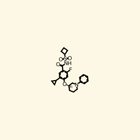 O=C(NS(=O)(=O)C1CCC1)c1cc(C2CC2)c(O[C@@H]2CCCN(c3ccccc3)C2)cc1F